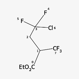 CCOC(=O)C(CC(F)(F)Cl)C(F)(F)F